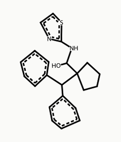 OC(Nc1nccs1)C1(C(c2ccccc2)c2ccccc2)CCCC1